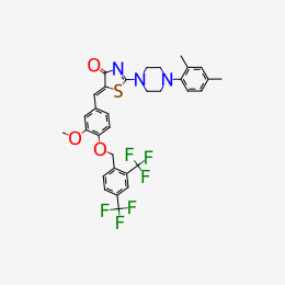 COc1cc(/C=C2\SC(N3CCN(c4ccc(C)cc4C)CC3)=NC2=O)ccc1OCc1ccc(C(F)(F)F)cc1C(F)(F)F